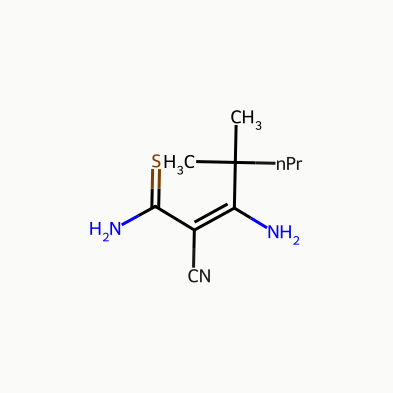 CCCC(C)(C)C(N)=C(C#N)C(N)=S